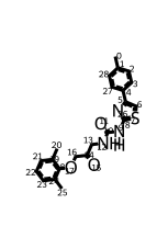 Cc1ccc(-c2csc(NC(=O)NCC(=O)COc3c(C)cccc3C)n2)cc1